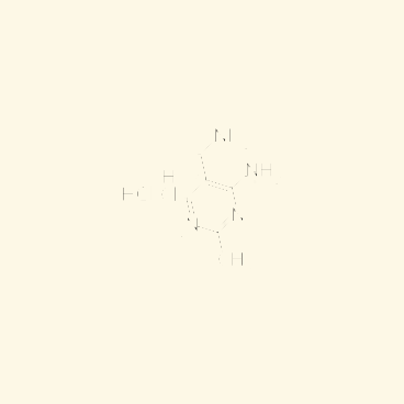 Cc1ncc(CN)c(N)n1.Cl.Cl